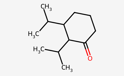 CC(C)C1CCCC(=O)C1C(C)C